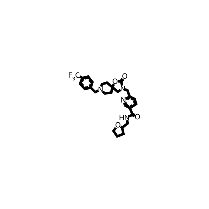 O=C(NCC1CCCO1)c1ccc(CN2CC3(CCN(Cc4ccc(C(F)(F)F)cc4)CC3)OC2=O)nc1